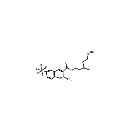 CC(=O)N(CCOC(=O)C1=Cc2cc(S(F)(F)(F)(F)F)ccc2O[C@@H]1C(F)(F)F)CCO[N+](=O)[O-]